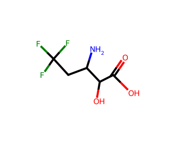 NC(CC(F)(F)F)C(O)C(=O)O